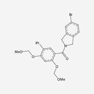 COCOc1cc(OCOC)c(C(C)C)cc1C(=O)N1Cc2ccc(Br)cc2C1